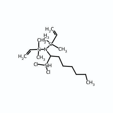 C=C[Si](C)(C)N(C(CCCCCC)[SiH](Cl)Cl)[Si](C)(C)C=C